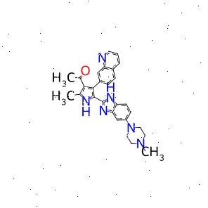 CC(=O)c1c(C)[nH]c(-c2nc3cc(N4CCN(C)CC4)ccc3[nH]2)c1-c1ccc2cccnc2c1